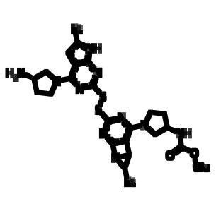 CCc1cc2c(N3CC[C@@H](N)C3)nc(SSc3nc(N4CC[C@@H](NC(=O)OC(C)(C)C)C4)c4c(n3)N3C(CC)C43)nc2[nH]1